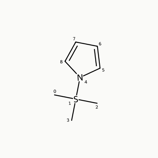 CS(C)(C)n1cccc1